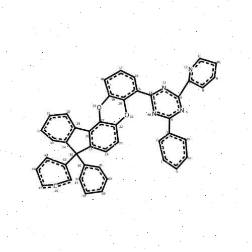 c1ccc(-c2nc(-c3ccccn3)nc(-c3cccc4c3Oc3ccc5c(c3O4)-c3ccccc3C5(c3ccccc3)c3ccccc3)n2)cc1